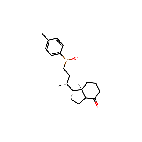 Cc1ccc([S+]([O-])CC[C@@H](C)[C@H]2CCC3C(=O)CCC[C@@]32C)cc1